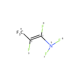 F/C(=C(/F)C(F)(F)F)N(F)F